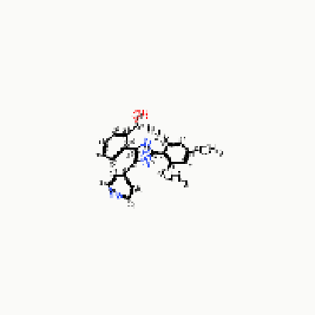 Cc1cc(C)c(-c2nc(-c3ccncc3)c(-c3ccccc3CO)[nH]2)c(C)c1